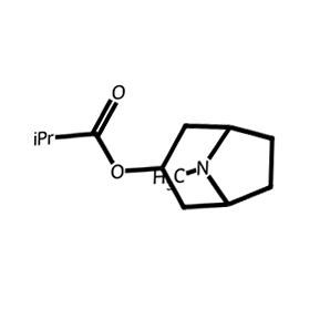 CC(C)C(=O)OC1CC2CCC(C1)N2C